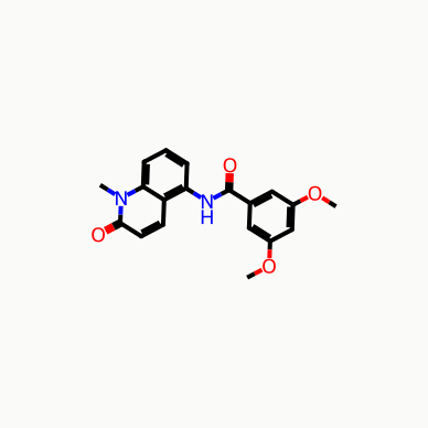 COc1cc(OC)cc(C(=O)Nc2cccc3c2ccc(=O)n3C)c1